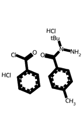 Cc1ccc(C(=O)N(N)C(C)(C)C)cc1.Cl.Cl.O=C(Cl)c1ccccc1